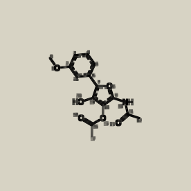 COc1cccc(-c2oc(NC(C)=O)c(OC(C)=O)c2O)c1